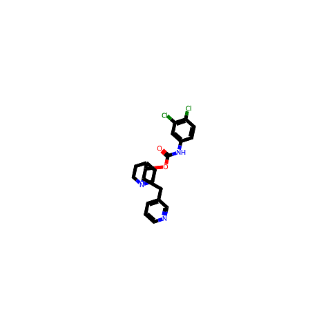 O=C(Nc1ccc(Cl)c(Cl)c1)OC1C2CCN(CC2)C1Cc1cccnc1